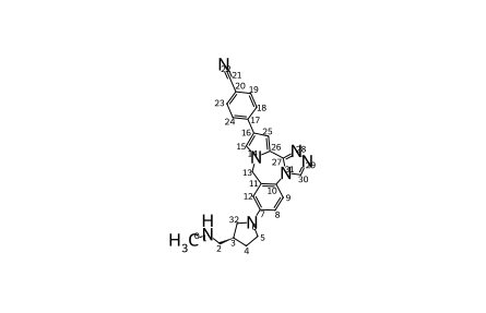 CNC[C@@H]1CCN(c2ccc3c(c2)Cn2cc(-c4ccc(C#N)cc4)cc2-c2nncn2-3)C1